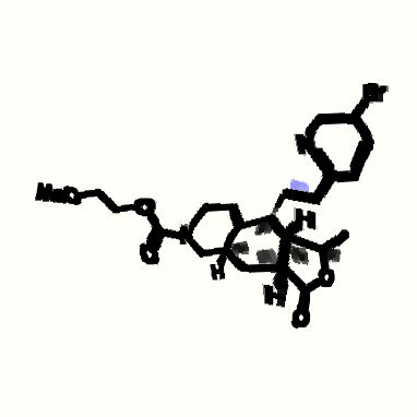 COCCOC(=O)N1CCC2[C@H](C[C@H]3C(=O)O[C@H](C)[C@H]3[C@H]2/C=C/c2ccc(Br)cn2)C1